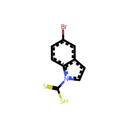 S=C(S)n1ccc2cc(Br)ccc21